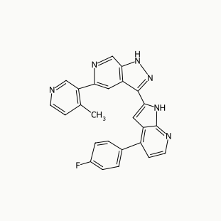 Cc1ccncc1-c1cc2c(-c3cc4c(-c5ccc(F)cc5)ccnc4[nH]3)n[nH]c2cn1